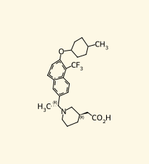 CC1CCC(Oc2ccc3cc([C@@H](C)N4CCC[C@H](CC(=O)O)C4)ccc3c2C(F)(F)F)CC1